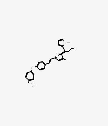 COc1ccc(Oc2ccc(/C=C/C3=NC(=C(/CCN)c4ccc[nH]4)/C(C)=C3)cc2)cc1